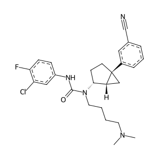 CN(C)CCCCN(C(=O)Nc1ccc(F)c(Cl)c1)[C@@H]1CC[C@]2(c3cccc(C#N)c3)C[C@H]12